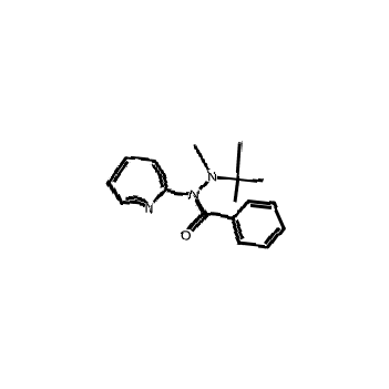 CN(N(C(=O)c1ccccc1)c1ccccn1)C(C)(C)C